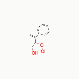 C=C(c1ccccc1)C(CO)OO